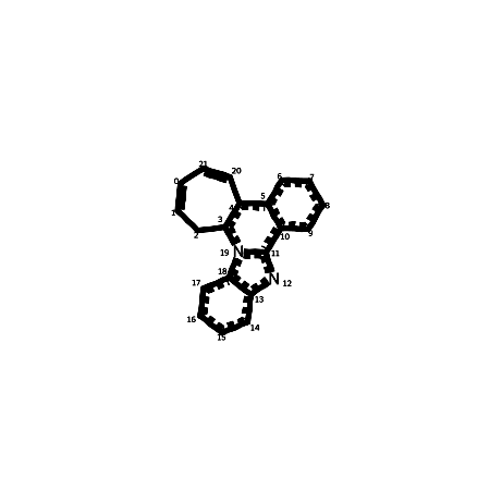 C1=CCc2c(c3ccccc3c3nc4ccccc4n23)C=C1